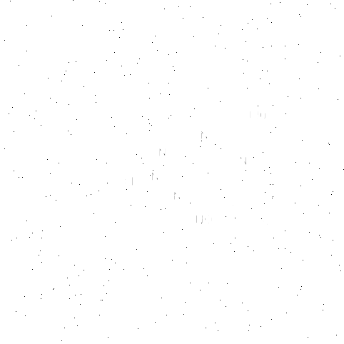 CC(C)(C)c1nc(C2(O)CSC2)c2nnn(Cc3ccccc3Cl)c2n1